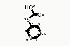 O=C(O)Sc1cncnc1